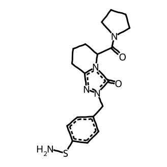 NSc1ccc(Cn2nc3n(c2=O)C(C(=O)N2CCCC2)CCC3)cc1